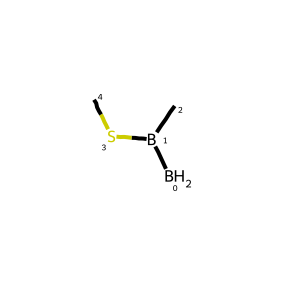 BB(C)SC